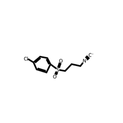 [C-]#[N+]CCCS(=O)(=O)c1ccc(Cl)cc1